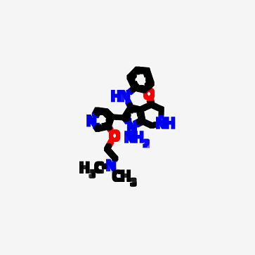 CN(C)CCOc1cnccc1-c1c(Nc2ccccc2)c2c(n1N)CNCC2=O